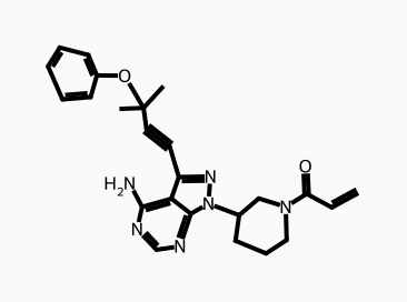 C=CC(=O)N1CCCC(n2nc(C#CC(C)(C)Oc3ccccc3)c3c(N)ncnc32)C1